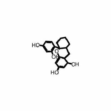 OC1=CC(O)C2CC3CCCCC3(c3ccc(O)cc3O)OC2=C1